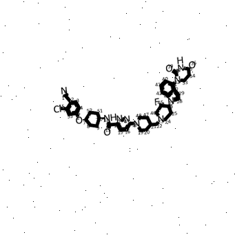 N#Cc1ccc(O[C@H]2CC[C@H](NC(=O)c3ccc(N4CCC(CN5CC[C@H](n6ccc7c(N8CCC(=O)NC8=O)cccc76)[C@@H](F)C5)CC4)nn3)CC2)cc1Cl